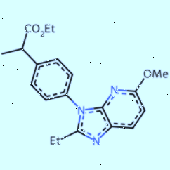 CCOC(=O)C(C)c1ccc(-n2c(CC)nc3ccc(OC)nc32)cc1